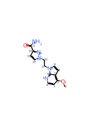 COc1ccnc2c1ccn2CCn1c[c]c(C(N)=O)n1